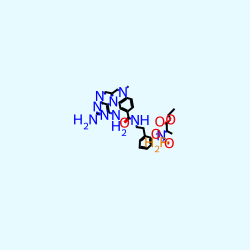 CCOC(=O)C(C)N(Oc1ccccc1CCNC(=O)c1ccc(N(C)Cc2cnc3nc(N)nc(N)c3n2)cc1)[PH2]=O